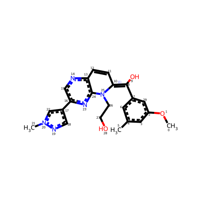 COc1cc(C)cc(/C(O)=C2/C=Cc3ncc(-c4cnn(C)c4)nc3N2CCO)c1